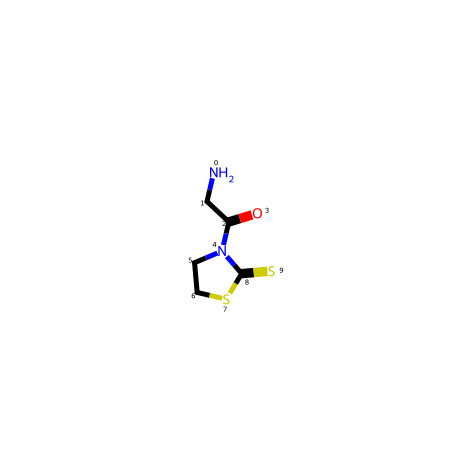 NCC(=O)N1CCSC1=S